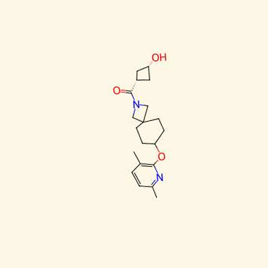 Cc1ccc(C)c(OC2CCC3(CC2)CN(C(=O)[C@H]2C[C@@H](O)C2)C3)n1